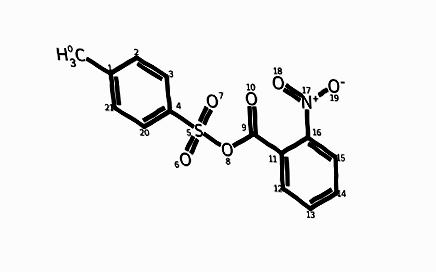 Cc1ccc(S(=O)(=O)OC(=O)c2ccccc2[N+](=O)[O-])cc1